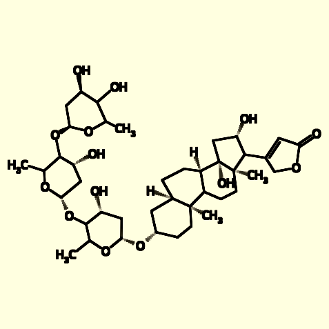 CC1O[C@@H](OC2C(C)O[C@@H](OC3C(C)O[C@@H](O[C@H]4CC[C@]5(C)C6CC[C@]7(C)C(C8=CC(=O)OC8)[C@@H](O)C[C@]7(O)[C@@H]6CC[C@@H]5C4)C[C@H]3O)C[C@H]2O)C[C@@H](O)C1O